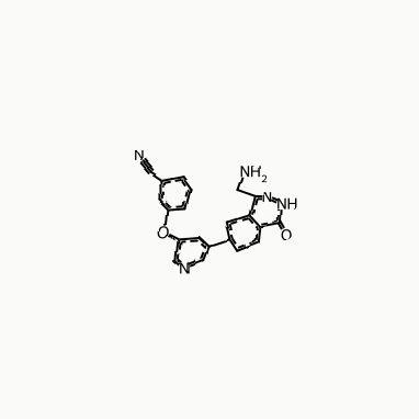 N#Cc1cccc(Oc2cncc(-c3ccc4c(=O)[nH]nc(CN)c4c3)c2)c1